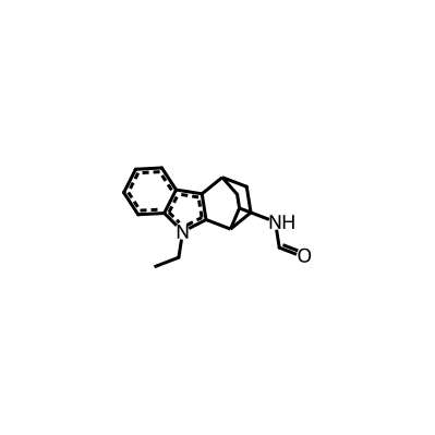 CCn1c2c(c3ccccc31)C1CCC2C(NC=O)C1